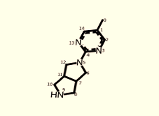 Cc1cnc(N2CC3CNCC3C2)nc1